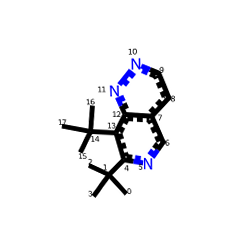 CC(C)(C)c1ncc2ccnnc2c1C(C)(C)C